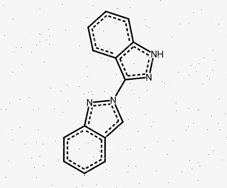 [c]1ccc2nn(-c3n[nH]c4ccccc34)cc2c1